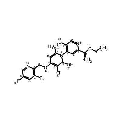 C=C(OCC)c1cc(N2C(C)=CC(OCc3ncc(F)cc3F)=C(Cl)C2O)c(C)cn1